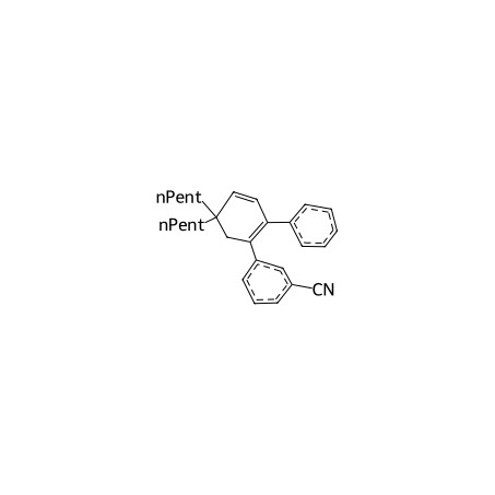 CCCCCC1(CCCCC)C=CC(c2ccccc2)=C(c2cccc(C#N)c2)C1